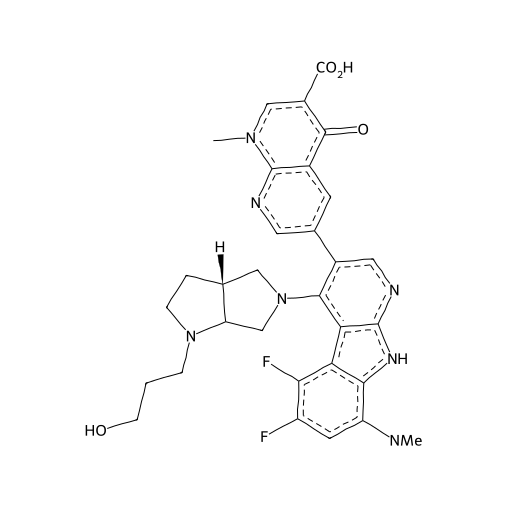 CNc1cc(F)c(F)c2c1[nH]c1ncc(-c3cnc4c(c3)c(=O)c(C(=O)O)cn4C)c(N3CC4[C@H](CCN4CCCO)C3)c12